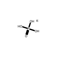 O=P(O)(O)O.[K]